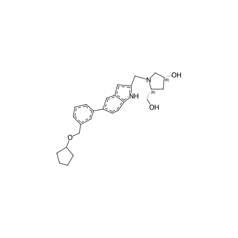 OC[C@H]1C[C@@H](O)CN1Cc1cc2cc(-c3cccc(COC4CCCC4)c3)ccc2[nH]1